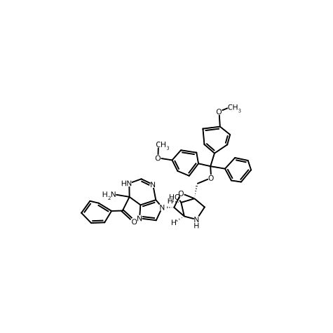 COc1ccc(C(OC[C@@]23CN[C@@H]([C@H](n4cnc5c4N=CNC5(N)C(=O)c4ccccc4)O2)[C@H]3O)(c2ccccc2)c2ccc(OC)cc2)cc1